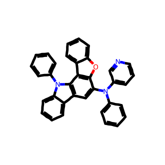 c1ccc(N(c2cccnc2)c2cc3c4ccccc4n(-c4ccccc4)c3c3c2oc2ccccc23)cc1